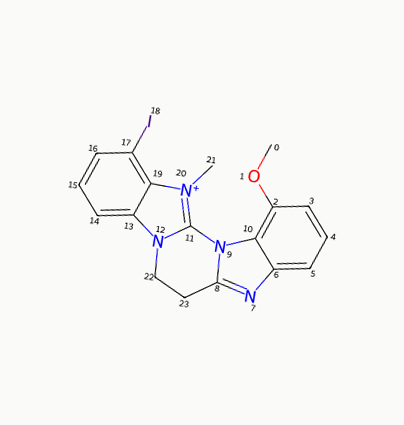 COc1cccc2nc3n(c12)-c1n(c2cccc(I)c2[n+]1C)CC3